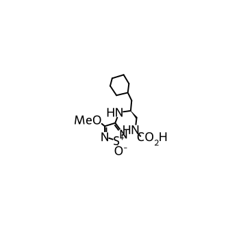 COc1n[s+]([O-])nc1N[C@H](CNC(=O)O)CC1CCCCC1